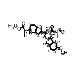 COC(=O)Nc1ccc2oc([C@](C)(CN3Cc4ccc(OC)cc4C3=O)NC(=O)NC=O)cc2n1